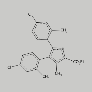 CCOC(=O)c1sc(-c2ccc(Cl)cc2C)c(-c2ccc(Cl)cc2C)c1C